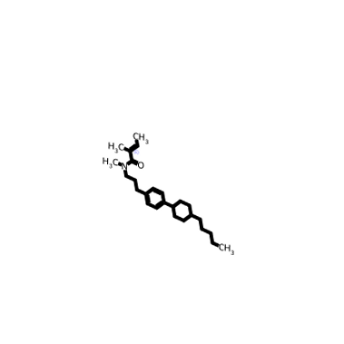 C/C=C(\C)C(=O)N(C)CCCc1ccc(C2CCC(CCCCC)CC2)cc1